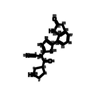 N#CN(C(=O)[C@H]1CCNC1)c1ncc(-c2cccc3c2NC(=O)C3)s1